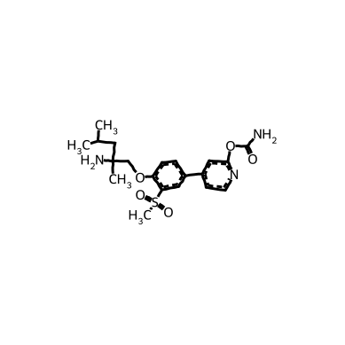 CC(C)CC(C)(N)COc1ccc(-c2ccnc(OC(N)=O)c2)cc1S(C)(=O)=O